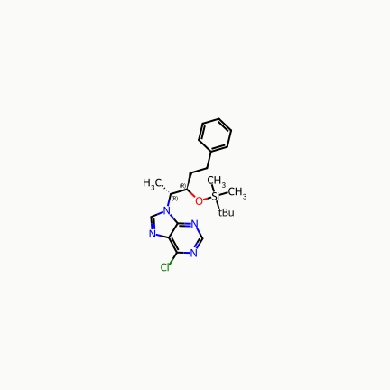 C[C@H]([C@@H](CCc1ccccc1)O[Si](C)(C)C(C)(C)C)n1cnc2c(Cl)ncnc21